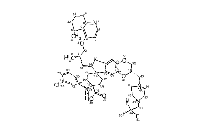 C[C@@H](COc1ccnc2c1[C@H](C)CCC2)C[C@H]1Cc2cc3c(cc2C12CCC(Nc1cccc(Cl)c1)(C(=O)O)CC2)O[C@@H](CN1CCN(CC(F)(F)F)CC1)CO3